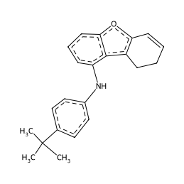 CC(C)(C)c1ccc(Nc2cccc3oc4c(c23)CCC=C4)cc1